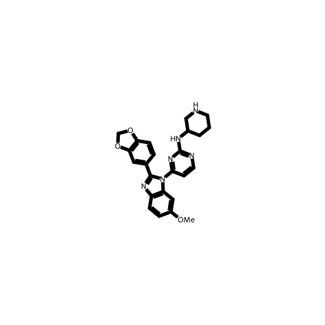 COc1ccc2nc(-c3ccc4c(c3)OCO4)n(-c3ccnc(NC4CCCNC4)n3)c2c1